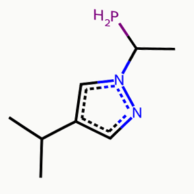 CC(C)c1cnn(C(C)P)c1